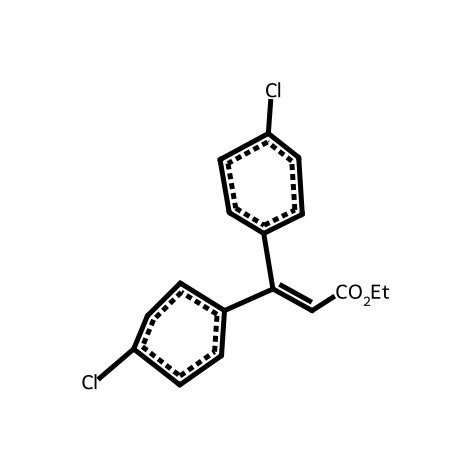 CCOC(=O)C=C(c1ccc(Cl)cc1)c1ccc(Cl)cc1